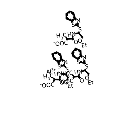 CCOCC(NC(=O)C(C)C(=O)[O-])Sc1nc2ccccc2s1.CCOCC(NC(=O)C(C)C(=O)[O-])Sc1nc2ccccc2s1.CCOCC(NC(=O)C(C)C(=O)[O-])Sc1nc2ccccc2s1.[Al+3]